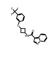 O=C(NC1CC(Oc2cccc(C(F)(F)F)c2)C1)c1cnn2ccccc12